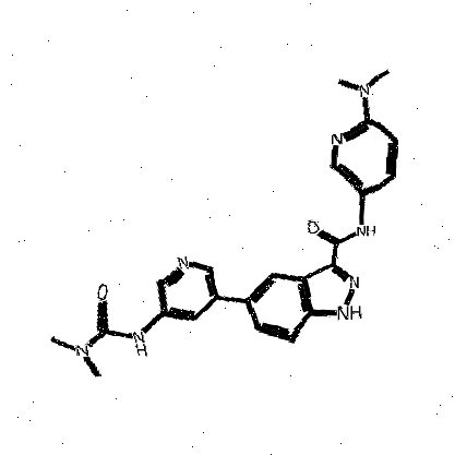 CN(C)C(=O)Nc1cncc(-c2ccc3[nH]nc(C(=O)Nc4ccc(N(C)C)nc4)c3c2)c1